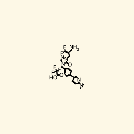 CN(C)c1ccc(-c2ccc(Cn3cnn(CC(CN)=C(F)F)c3=O)cc2)cn1.O=C(O)C(F)(F)F